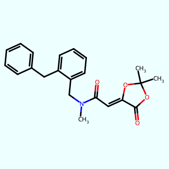 CN(Cc1ccccc1Cc1ccccc1)C(=O)C=C1OC(C)(C)OC1=O